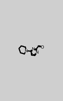 O=[C]c1nccc(N2CCCCC2)n1